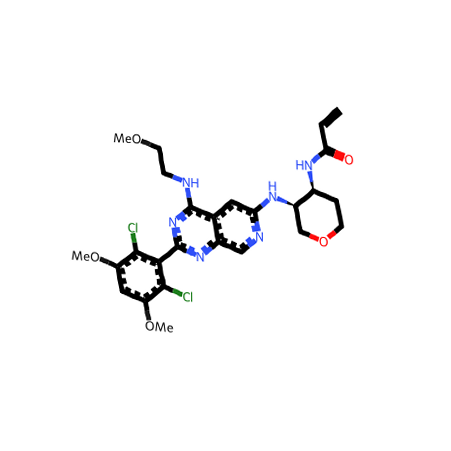 C=CC(=O)N[C@H]1CCOC[C@H]1Nc1cc2c(NCCOC)nc(-c3c(Cl)c(OC)cc(OC)c3Cl)nc2cn1